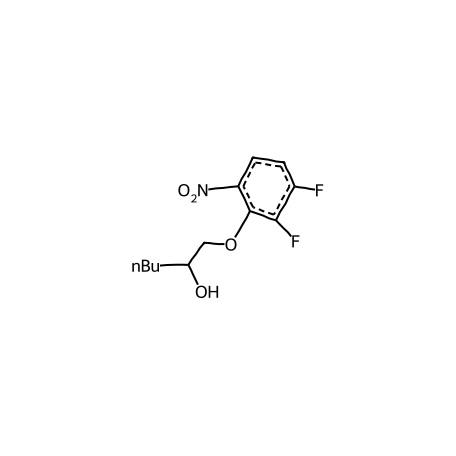 CCCCC(O)COc1c([N+](=O)[O-])ccc(F)c1F